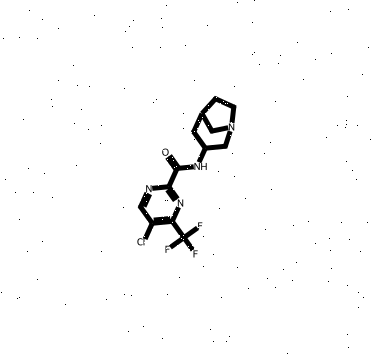 O=C(NC1CC2CCN(C2)C1)c1ncc(Cl)c(C(F)(F)F)n1